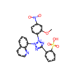 COc1cc([N+](=O)[O-])ccc1-[n+]1nc(-c2ccccc2S(=O)(=O)O)nn1-c1cccc2cccnc12